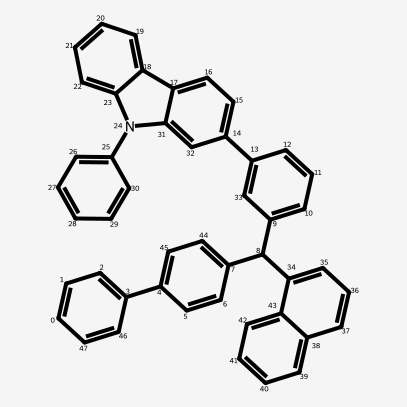 c1ccc(-c2ccc(C(c3cccc(-c4ccc5c6ccccc6n(-c6ccccc6)c5c4)c3)c3cccc4ccccc34)cc2)cc1